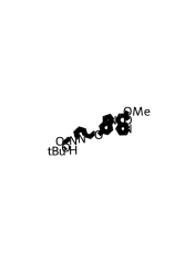 COC(=O)CC(c1cccnc1)n1ccc2cc(OCCc3cccc(NCC(=O)OC(C)(C)C)n3)ccc21